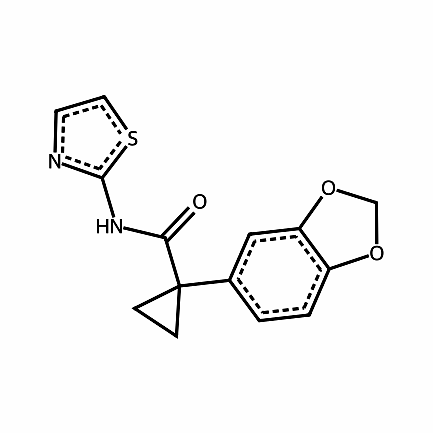 O=C(Nc1nccs1)C1(c2ccc3c(c2)OCO3)CC1